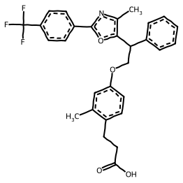 Cc1cc(OCC(c2ccccc2)c2oc(-c3ccc(C(F)(F)F)cc3)nc2C)ccc1CCC(=O)O